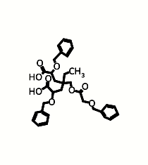 CCC(COC(=O)COCc1ccccc1)(CC(OCc1ccccc1)C(=O)O)CC(OCc1ccccc1)C(=O)O